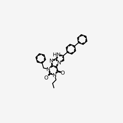 CCCn1c(=O)c2c(nc3[nH]c(-c4ccc(-c5ccccc5)cc4)cn32)n(Cc2ccccc2)c1=O